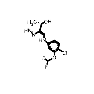 C[C@H](O)/C(=C/Nc1ccc(Cl)c(OC(F)F)c1)N=N